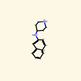 c1ccc2cc(NC3CCNCC3)ccc2c1